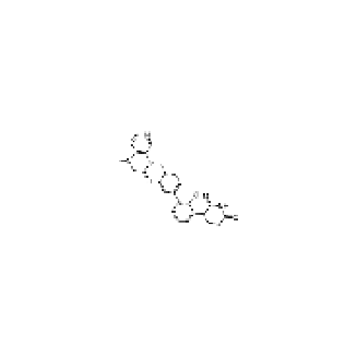 CN1CC(=O)N(Cc2ccc(-c3cccc(C4CCC(=O)NC4=O)c3Cl)cc2)c2cnccc21